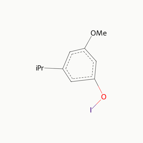 COc1cc(OI)cc(C(C)C)c1